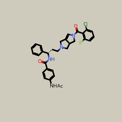 CC(=O)Nc1ccc(C(=O)N[C@@H](CCN2CC3=CN(C(=O)c4c(F)cccc4Cl)CC3C2)c2ccccc2)cc1